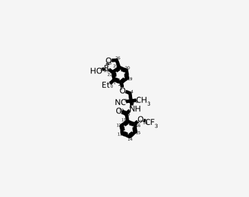 CCc1c(OCC(C)(C#N)NC(=O)c2ccccc2OC(F)(F)F)ccc2c1B(O)OC2